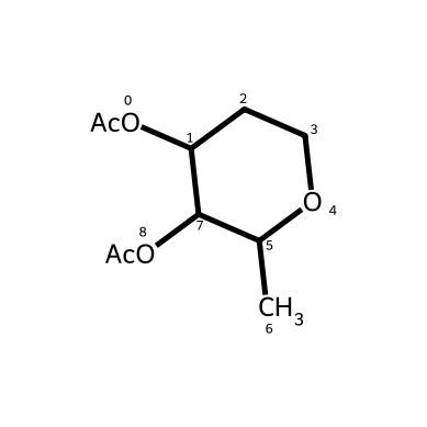 CC(=O)OC1CCOC(C)C1OC(C)=O